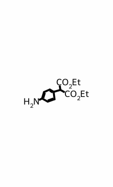 CCOC(=O)C(C(=O)OCC)c1ccc(N)cc1